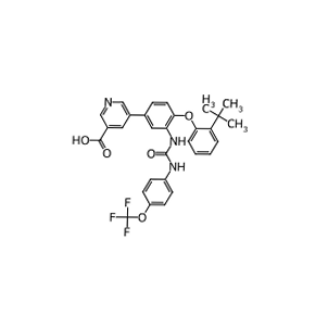 CC(C)(C)c1ccccc1Oc1ccc(-c2cncc(C(=O)O)c2)cc1NC(=O)Nc1ccc(OC(F)(F)F)cc1